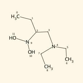 CCC(CN(CC)CC)N(O)O